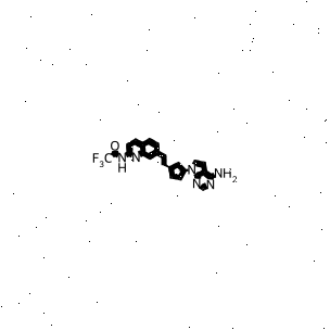 Nc1ncnc2c1ccn2[C@H]1CC[C@@H](CCc2ccc3ccc(NC(=O)C(F)(F)F)nc3c2)C1